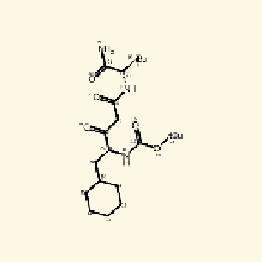 CC[C@H](C)[C@H](NC(=O)CC(=O)[C@H](CC1CCCCC1)NC(=O)OC(C)(C)C)C(N)=O